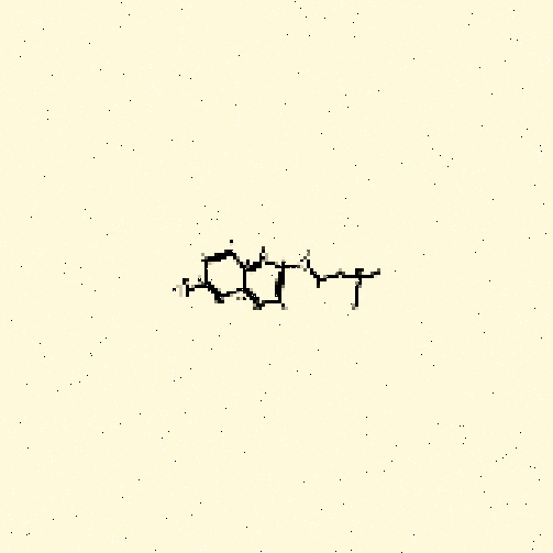 [2H]c1ccc2nc(OCCC(C)C)ccc2c1